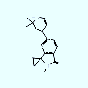 CN1C(=O)c2ccc(C3C=CNC(C)(C)C3)cc2C12CC2